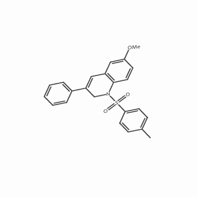 COc1ccc2c(c1)C=C(c1ccccc1)CN2S(=O)(=O)c1ccc(C)cc1